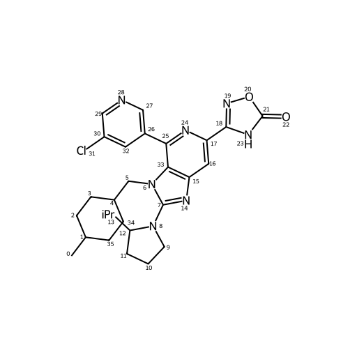 CC1CCC(Cn2c(N3CCCC3C(C)C)nc3cc(-c4noc(=O)[nH]4)nc(-c4cncc(Cl)c4)c32)CC1